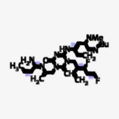 C=C/C(CN1C(=C)N(CC(=C)/N=C(N)\C=C/C)C(=O)N=C1N/C(C=C)=C/C(/C=N\C(C)CC)NC)=C(F)\C=C\F